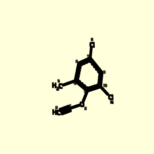 C#COc1c(C)cc(Cl)cc1Cl